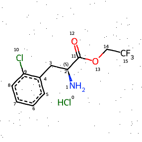 Cl.N[C@@H](Cc1ccccc1Cl)C(=O)OCC(F)(F)F